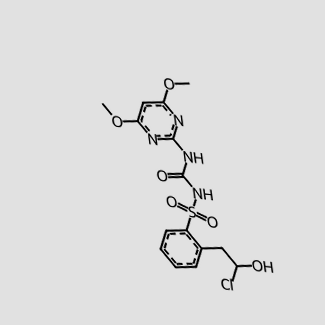 COc1cc(OC)nc(NC(=O)NS(=O)(=O)c2ccccc2CC(O)Cl)n1